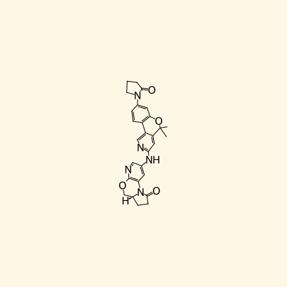 CC1(C)Oc2cc(N3CCCC3=O)ccc2-c2cnc(Nc3cnc4c(c3)N3C(=O)CC[C@@H]3CO4)cc21